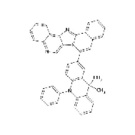 CC1(C)c2ccccc2N(c2ccccc2)c2ccc(-c3cc4ccccc4c4nc5c6ccccc6ncc5n34)cc21